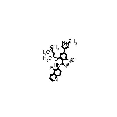 C[C@H](CN(C)C)Oc1cc(-c2cnn(C)c2)cc2c1c(Nc1ccc3ncccc3c1F)nc[n+]2[O-]